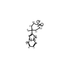 CC1(c2cn3ncccc3n2)CCS(=O)(=O)CC1